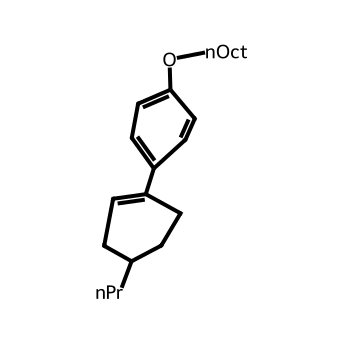 CCCCCCCCOc1ccc(C2=CCC(CCC)CC2)cc1